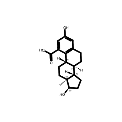 C[C@]12CC[C@@H]3c4c(cc(O)cc4C(=O)O)CC[C@H]3[C@@H]1CC[C@H]2O